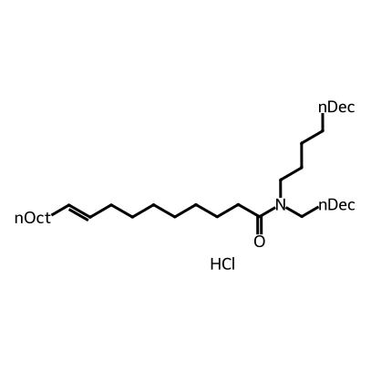 CCCCCCCCC=CCCCCCCCC(=O)N(CCCCCCCCCCC)CCCCCCCCCCCCCC.Cl